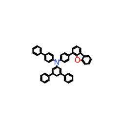 C1=C(c2ccccc2)CC(c2ccccc2)C=C1N(c1ccc(-c2ccccc2)cc1)c1ccc(-c2cccc3c2oc2ccccc23)cc1